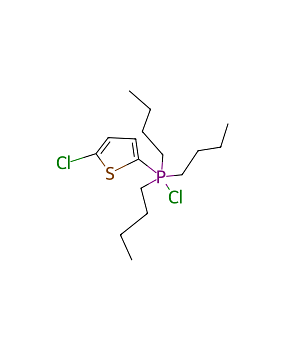 CCCCP(Cl)(CCCC)(CCCC)c1ccc(Cl)s1